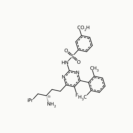 Cc1cccc(C)c1-c1nc(NS(=O)(=O)c2cccc(C(=O)O)c2)nc(CC[C@H](N)CC(C)C)c1F